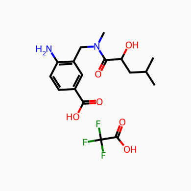 CC(C)CC(O)C(=O)N(C)Cc1cc(C(=O)O)ccc1N.O=C(O)C(F)(F)F